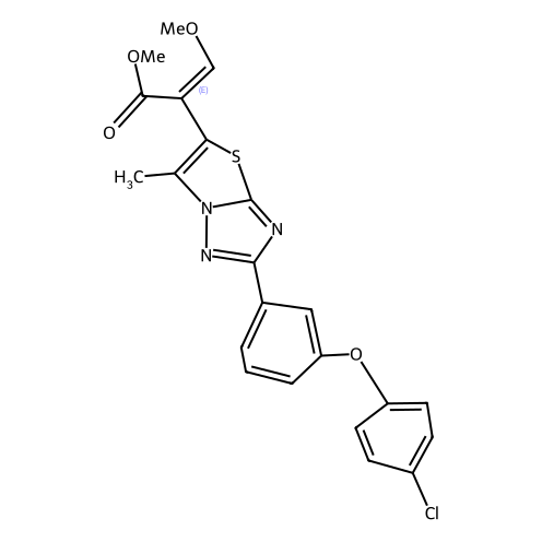 CO/C=C(\C(=O)OC)c1sc2nc(-c3cccc(Oc4ccc(Cl)cc4)c3)nn2c1C